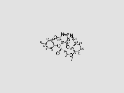 CO/C=C/C(=O)Oc1ccc(C)cc1Oc1cc(Oc2ccccc2C#N)ncn1